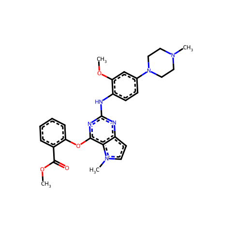 COC(=O)c1ccccc1Oc1nc(Nc2ccc(N3CCN(C)CC3)cc2OC)nc2ccn(C)c12